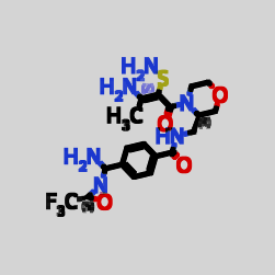 C/C(N)=C(/SN)C(=O)N1CCOC[C@H]1CNC(=O)c1ccc(C(N)N2O[C@H]2C(F)(F)F)cc1